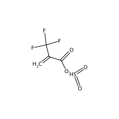 C=C(C(=O)O[SH](=O)=O)C(F)(F)F